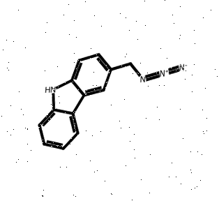 [N-]=[N+]=NCc1ccc2[nH]c3ccccc3c2c1